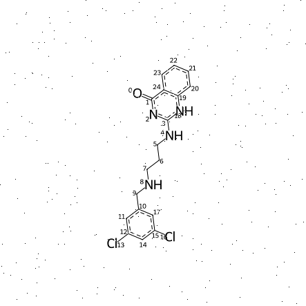 O=c1nc(NCCCNCc2cc(Cl)cc(Cl)c2)[nH]c2ccccc12